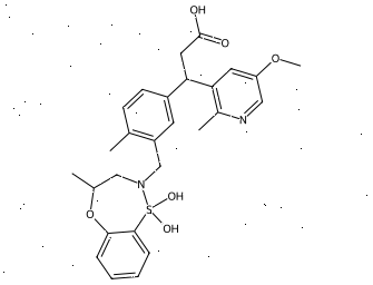 COc1cnc(C)c(C(CC(=O)O)c2ccc(C)c(CN3CC(C)Oc4ccccc4S3(O)O)c2)c1